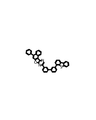 c1ccc(-c2cc3oc4nc(-c5cccc(-c6cccc(-c7cccc8c7sc7ccccc78)c6)c5)cnc4c3c3ccccc23)cc1